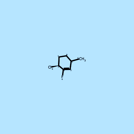 CC1C=C(F)[C@@H](Cl)CC1